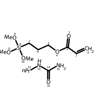 C=CC(=O)OCCC[Si](OC)(OC)OC.[CH2]CCNC(N)=O